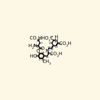 Cc1cc(O)c(OC(=O)[C@@H](N)CCC(=O)O)cc1C[C@H](/N=C\C=C1\C=C(C(=O)O)NC(C(=O)O)C1)C(=O)O